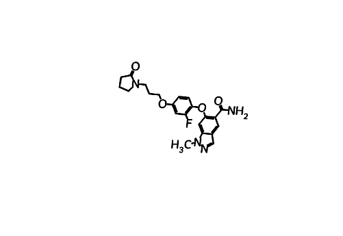 Cn1ncc2cc(C(N)=O)c(Oc3ccc(OCCCN4CCCC4=O)cc3F)cc21